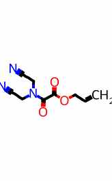 C=CCOC(=O)C(=O)N(CC#N)CC#N